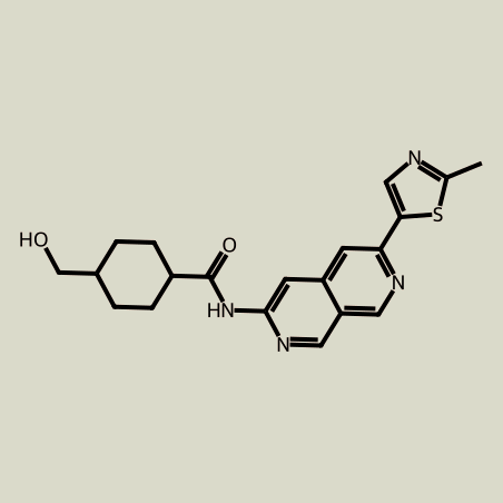 Cc1ncc(-c2cc3cc(NC(=O)C4CCC(CO)CC4)ncc3cn2)s1